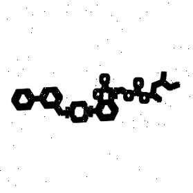 CCC(C)CC(C)OC(=O)OCn1c(=O)oc2c(N3CCN(Cc4cccc(-c5ccccc5)c4)CC3)cccc21